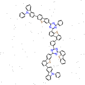 c1ccc(-c2nc(-c3ccc4c(c3)sc3cc(-c5ccc6c(c5)c5ccccc5n6-c5ccccc5)ccc34)nc(-c3cccc4c3sc3cccc(-c5cccc(-c6nc(-c7ccc8c(c7)sc7c(-c9ccc%10c(c9)c9ccccc9n%10-c9ccccc9)cccc78)nc(-c7cccc8c7sc7ccccc78)n6)c5)c34)n2)cc1